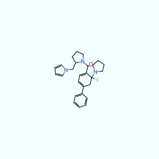 O=C(C1=CC=C(c2ccccc2)CC1(F)N1CCCC1)N1CCCC1Cn1cccc1